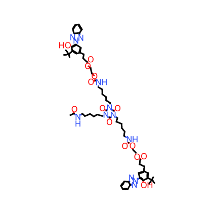 CC(=O)NCCCCCCn1c(=O)n(CCCCCCNC(=O)OCCOC(=O)CCc2cc(-n3nc4ccccc4n3)c(O)c(C(C)(C)C)c2)c(=O)n(CCCCCCNC(=O)OCCOC(=O)CCc2cc(-n3nc4ccccc4n3)c(O)c(C(C)(C)C)c2)c1=O